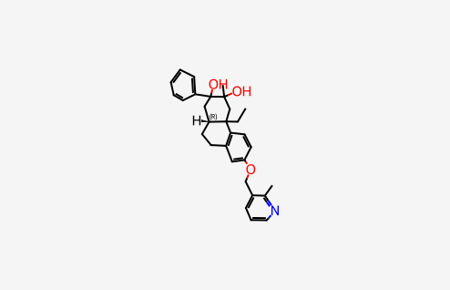 CCC12CC(C)(O)C(O)(c3ccccc3)C[C@H]1CCc1cc(OCc3cccnc3C)ccc12